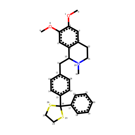 COc1cc2c(cc1OC)C(Cc1ccc(C3(c4ccccc4)SCCS3)cc1)N(C)CC2